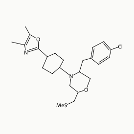 CSCC1CN(C2CCC(c3nc(C)c(C)o3)CC2)C(Cc2ccc(Cl)cc2)CO1